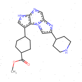 COC(=O)C1CCC(c2c[nH]c3ncc4nc(C5CCNCC5)cn4c23)CC1